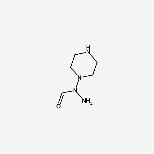 NN(C=O)N1CCNCC1